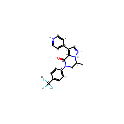 CC1CN(c2ccc(C(F)(F)F)cc2)C(=O)c2c(-c3ccncc3)cnn21